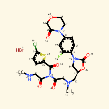 Br.CNCC(=O)N(C(=O)CN(C)C[C@H]1CN(c2ccc(N3CCOCC3=O)cc2F)C(=O)O1)C(=O)c1ccc(Cl)s1